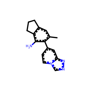 Cc1cc2c(c(N)c1-c1ccn3cnnc3c1)CCC2